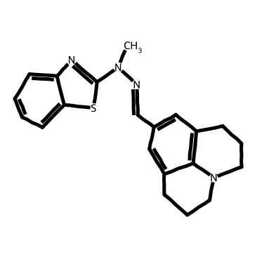 CN(/N=C/c1cc2c3c(c1)CCCN3CCC2)c1nc2ccccc2s1